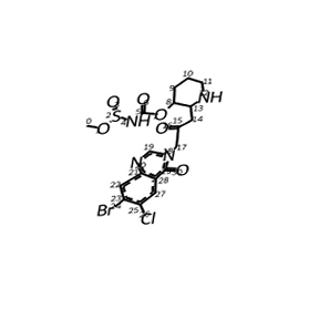 COS(=O)NC(=O)OC1CCCNC1CC(=O)Cn1cnc2cc(Br)c(Cl)cc2c1=O